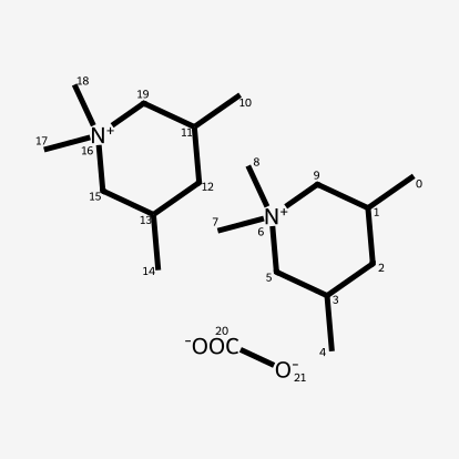 CC1CC(C)C[N+](C)(C)C1.CC1CC(C)C[N+](C)(C)C1.O=C([O-])[O-]